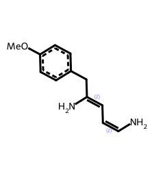 COc1ccc(C/C(N)=C/C=C\N)cc1